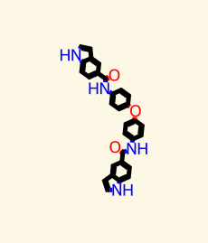 O=C(Nc1ccc(Oc2ccc(NC(=O)c3ccc4[nH]ccc4c3)cc2)cc1)c1ccc2[nH]ccc2c1